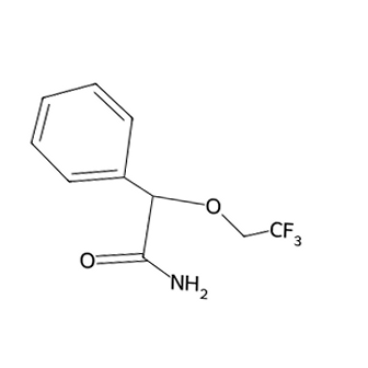 NC(=O)C(OCC(F)(F)F)c1ccccc1